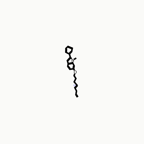 C=CC/C=C/CCCOc1ccc2cc(-c3ccccc3)n(C)c2c1